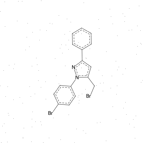 BrCc1cc(-c2ccccc2)nn1-c1ccc(Br)cc1